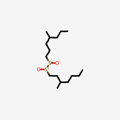 CCCCC(C)CC[S+]([O-])[S+]([O-])CCCC(C)CCC